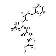 CCC(=O)O[C@@H](C)OC(=O)N[C@@H](CC[C@H](C)CCC1CCCCC1)CC(=O)O